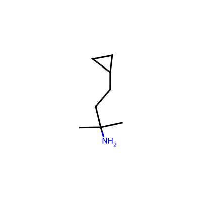 CC(C)(N)CCC1CC1